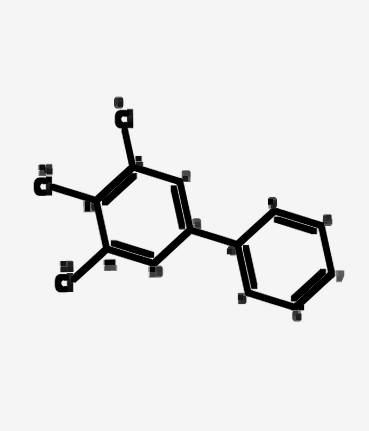 Clc1cc(-c2c[c]ccc2)cc(Cl)c1Cl